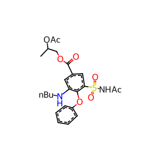 CCCCNc1cc(C(=O)OCC(C)OC(C)=O)cc(S(=O)(=O)NC(C)=O)c1Oc1ccccc1